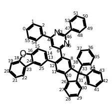 c1ccc(-c2cc(-c3cc4c(cc3-c3ccc5oc6ccccc6c5c3)-c3ccccc3C4(c3ccccc3)c3ccccc3)nc(-c3ccccc3)n2)cc1